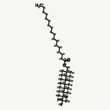 CCCCCCCCCCCCCCCCCC(=O)OCC(F)(F)C(F)(F)C(F)(F)C(F)(F)C(F)(F)C(F)(F)C(F)(F)C(F)(F)F